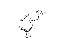 CO.O=C(O)COCC(O)=S